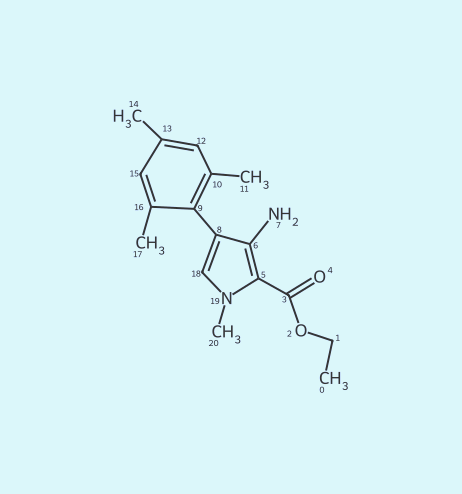 CCOC(=O)c1c(N)c(-c2c(C)cc(C)cc2C)cn1C